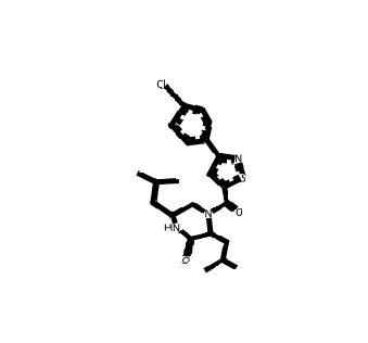 CC(C)CC1CN(C(=O)c2cc(-c3ccc(Cl)cc3)ns2)C(CC(C)C)C(=O)N1